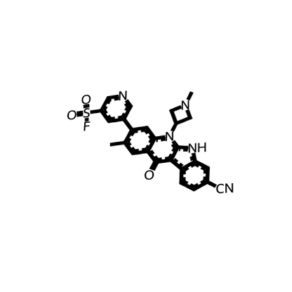 Cc1cc2c(=O)c3c4ccc(C#N)cc4[nH]c3n(C3CN(C)C3)c2cc1-c1cncc(S(=O)(=O)F)c1